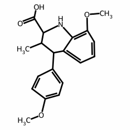 COc1ccc(C2c3cccc(OC)c3NC(C(=O)O)C2C)cc1